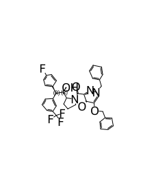 O=C(c1nn(Cc2ccccc2)cc(OCc2ccccc2)c1=O)N1CCCC1[C@H](O)[C@H](c1ccc(F)cc1)c1cccc(C(F)(F)F)c1